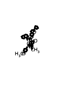 CCCN(C(=O)NCc1ccc(OC)cc1)N1CC(=O)N2[C@@H](Cc3ccc(/C=C\C(=O)c4ccccc4)cc3)C(=O)N(Cc3cccc4ccccc34)C[C@@H]21